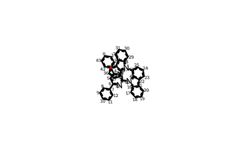 c1ccc(-c2cc(-c3ccccc3)nc(-n3c4ccccc4c4cccc(-n5c6ccccc6c6ccccc65)c43)n2)cc1